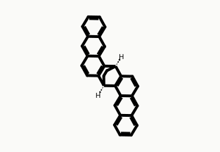 c1ccc2cc3c4c(ccc3cc2c1)[C@H]1CC[C@@H]4c2ccc3cc4ccccc4cc3c21